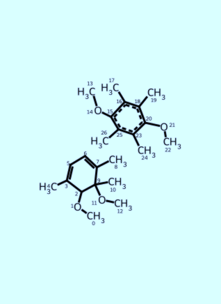 COC1C(C)=CC=C(C)C1(C)OC.COc1c(C)c(C)c(OC)c(C)c1C